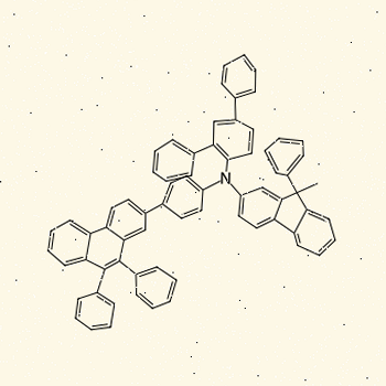 CC1(c2ccccc2)c2ccccc2-c2ccc(N(c3ccc(-c4ccc5c(c4)c(-c4ccccc4)c(-c4ccccc4)c4ccccc45)cc3)c3ccc(-c4ccccc4)cc3-c3ccccc3)cc21